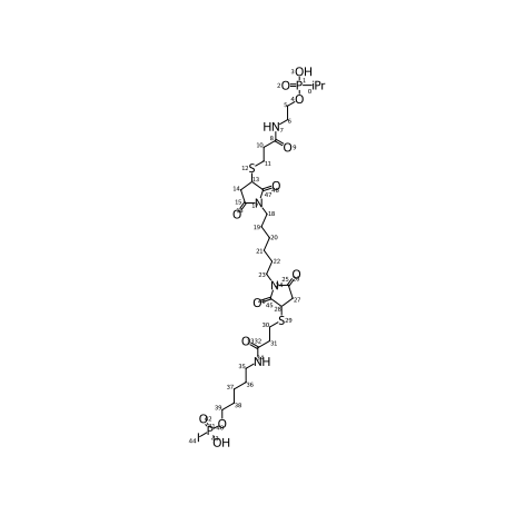 CC(C)P(=O)(O)OCCNC(=O)CCSC1CC(=O)N(CCCCCCN2C(=O)CC(SCCC(=O)NCCCCCOP(=O)(O)I)C2=O)C1=O